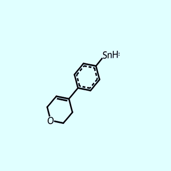 [SnH][c]1ccc(C2=CCOCC2)cc1